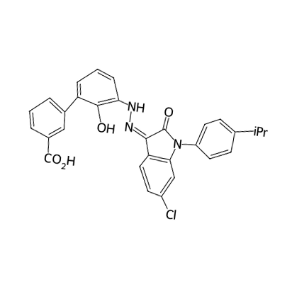 CC(C)c1ccc(N2C(=O)/C(=N\Nc3cccc(-c4cccc(C(=O)O)c4)c3O)c3ccc(Cl)cc32)cc1